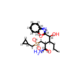 CCCC(C(CS(=O)(=O)CC1CC1)C(N)=O)C(O)c1nc2ccccc2o1